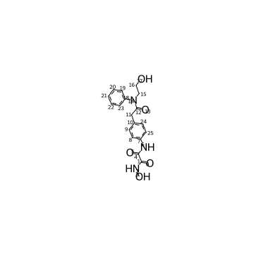 O=C(NO)C(=O)Nc1ccc(CC(=O)N(CCO)c2ccccc2)cc1